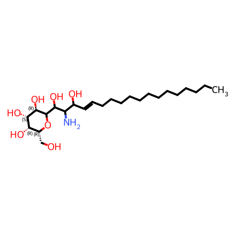 CCCCCCCCCCCCCC=CC(O)C(N)C(O)C1O[C@H](CO)[C@H](O)[C@H](O)[C@H]1O